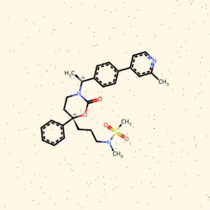 Cc1cc(-c2ccc([C@H](C)N3CC[C@@](CCCN(C)S(C)(=O)=O)(c4ccccc4)OC3=O)cc2)ccn1